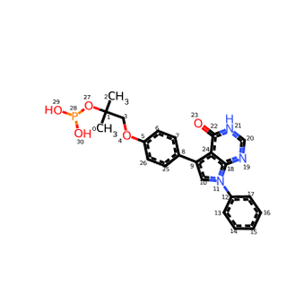 CC(C)(COc1ccc(-c2cn(-c3ccccc3)c3nc[nH]c(=O)c23)cc1)OP(O)O